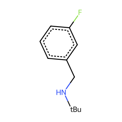 CC(C)(C)NCc1cccc(F)c1